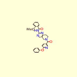 COc1ccccc1C(=O)Nc1ncc2c(n1)CCN(C(=O)c1ccc(Oc3ccccc3)nc1)C2